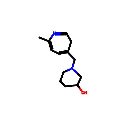 CC1=CC=C(CN2CCCC(O)C2)CC=N1